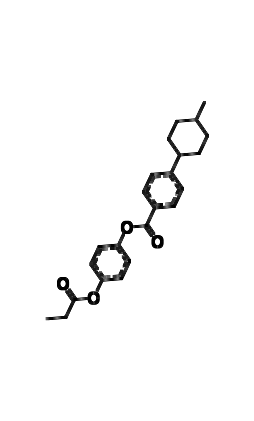 CCC(=O)Oc1ccc(OC(=O)c2ccc(C3CCC(C)CC3)cc2)cc1